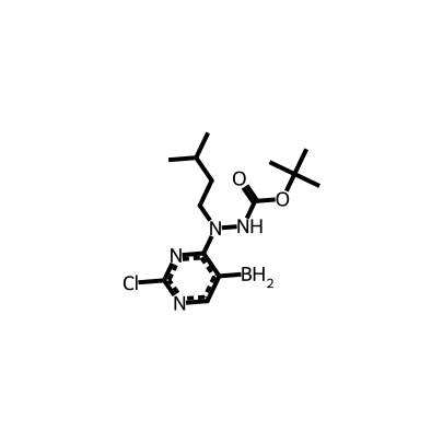 Bc1cnc(Cl)nc1N(CCC(C)C)NC(=O)OC(C)(C)C